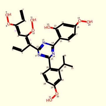 C=C/C(=C(\C=C(/C=C)OO)OO)c1nc(-c2ccc(OO)cc2O)nc(-c2ccc(OO)cc2C(C)C)n1